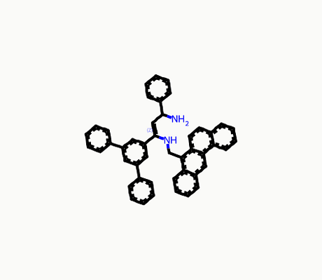 NC(/C=C(\NCc1c2ccccc2cc2c1ccc1ccccc12)c1cc(-c2ccccc2)cc(-c2ccccc2)c1)c1ccccc1